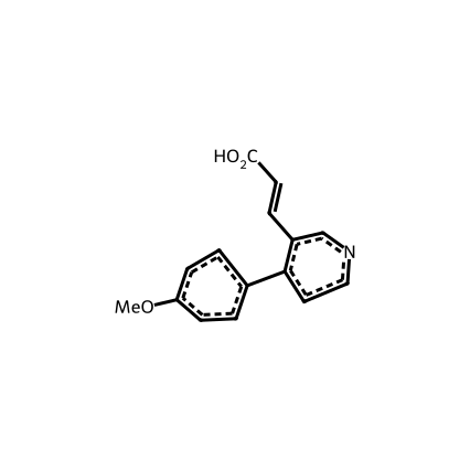 COc1ccc(-c2ccncc2C=CC(=O)O)cc1